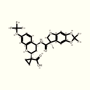 C[C@]1(C(=O)N[C@H]2C[C@@H](C3(C(=O)O)CC3)Oc3cc(OC(F)(F)F)ccc32)COc2cc3c(cc21)OC(F)(F)O3